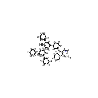 C/C=C\C1=C(N)C2C=CC=CC2N1c1cccc(C2=CC(c3ccccn3)NC(c3cc(-c4ccccc4)cc(-c4ccccc4)c3)=C2)c1